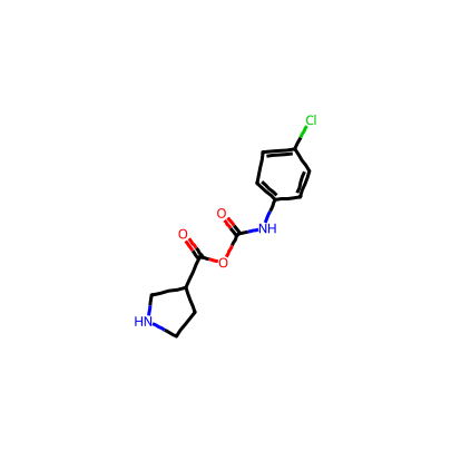 O=C(Nc1ccc(Cl)cc1)OC(=O)C1CCNC1